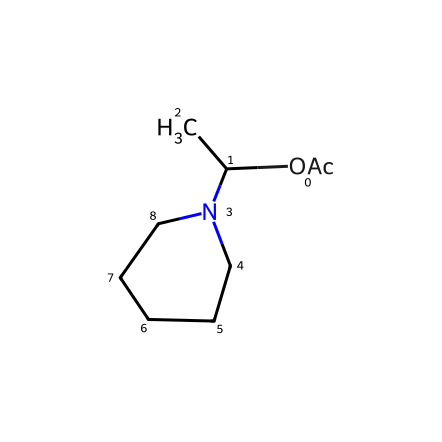 CC(=O)OC(C)N1CCCCC1